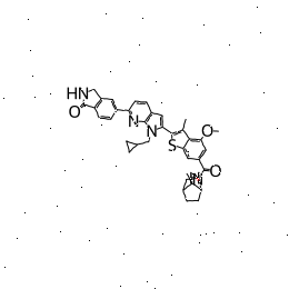 COc1cc(C(=O)N2CC3CCC2[C@@H]3C)cc2sc(-c3cc4ccc(-c5ccc6c(c5)CNC6=O)nc4n3CC3CC3)c(C)c12